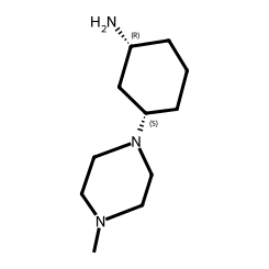 CN1CCN([C@H]2CCC[C@@H](N)C2)CC1